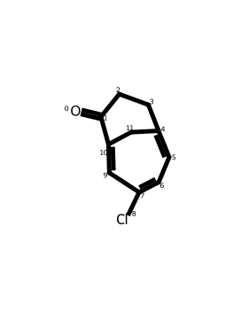 O=C1CCC2=CC=C(Cl)C=C1C2